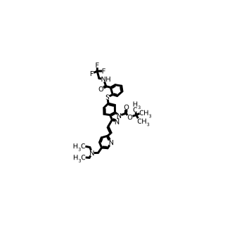 CCN(CC)Cc1ccc(/C=C/c2nn(C(=O)OC(C)(C)C)c3cc(Sc4ccccc4C(=O)NCC(F)(F)F)ccc23)nc1